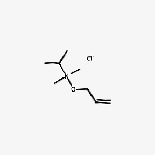 C=CCO[N+](C)(C)C(C)C.[Cl-]